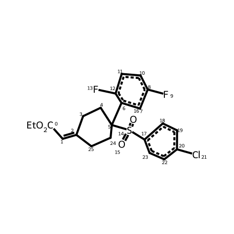 CCOC(=O)C=C1CCC(c2cc(F)ccc2F)(S(=O)(=O)c2ccc(Cl)cc2)CC1